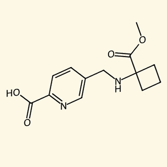 COC(=O)C1(NCc2ccc(C(=O)O)nc2)CCC1